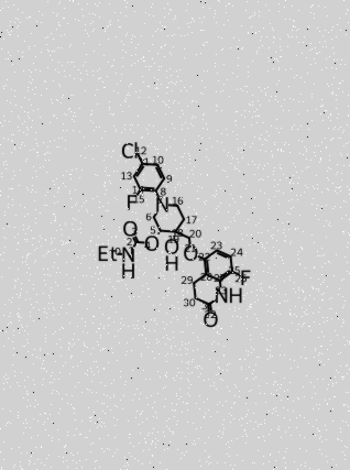 CCNC(=O)O[C@@H]1CN(c2ccc(Cl)cc2F)CC[C@@]1(O)COc1ccc(F)c2c1CCC(=O)N2